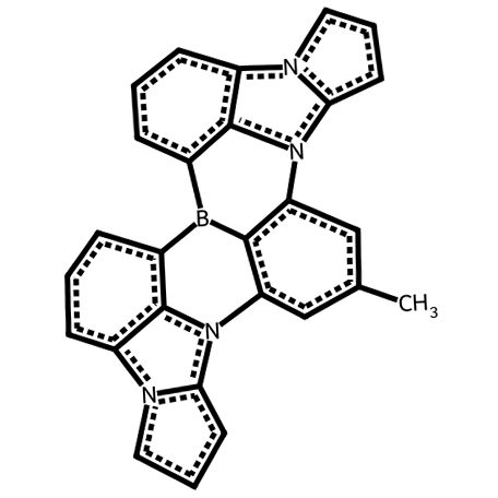 Cc1cc2c3c(c1)-n1c4c(cccc4n4cccc14)B3c1cccc3c1n-2c1cccn31